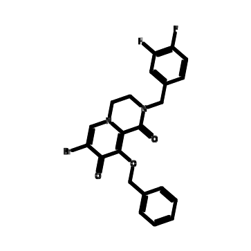 O=C1c2c(OCc3ccccc3)c(=O)c(Br)cn2CCN1Cc1ccc(F)c(F)c1